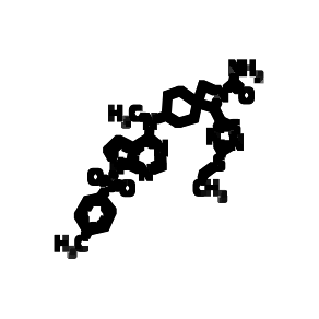 CCSc1nsc(C2N(C(N)=O)CC23CCC(N(C)c2ncnc4c2ccn4S(=O)(=O)c2ccc(C)cc2)CC3)n1